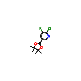 CC1(C)OB(c2cnc(Cl)c(F)c2)OC1(C)C